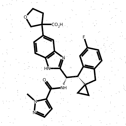 Cn1nccc1C(=O)N[C@H](c1nc2cc(C3(C(=O)O)CCOC3)ccc2[nH]1)[C@@H]1c2cc(F)ccc2CC12CC2